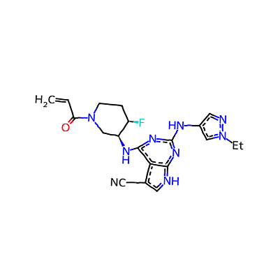 C=CC(=O)N1CC[C@@H](F)[C@@H](Nc2nc(Nc3cnn(CC)c3)nc3[nH]cc(C#N)c23)C1